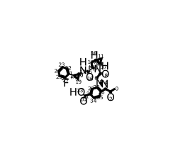 CC(=O)c1nn(CC(=O)N2[C@@H]3C[C@@H]3C[C@H]2C(=O)N[C@@H]2C[C@H]2c2ccccc2F)c2cc(C(=O)O)ccc12